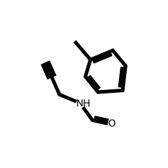 C#CCNC=O.Cc1ccccc1